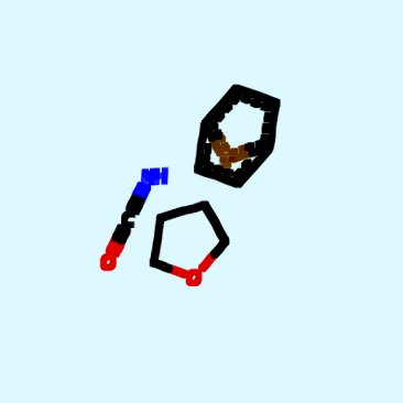 C1CCOC1.N=C=O.c1cc2ccc1s2